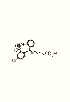 O=C(O)CCCC/N=C1\c2ccccc2NS(=O)(=O)c2cc(Cl)ccc21